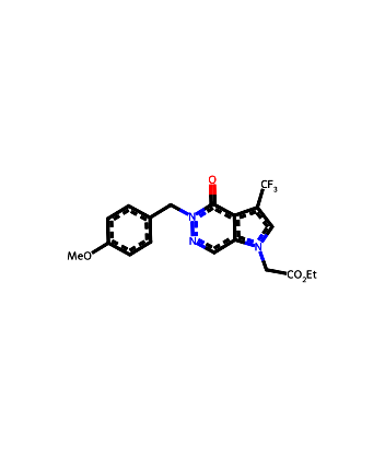 CCOC(=O)Cn1cc(C(F)(F)F)c2c(=O)n(Cc3ccc(OC)cc3)ncc21